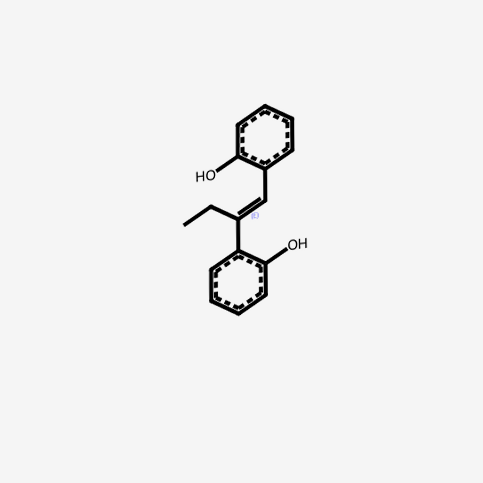 CC/C(=C\c1ccccc1O)c1ccccc1O